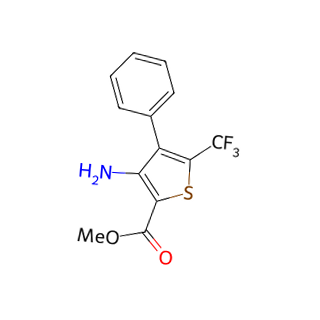 COC(=O)c1sc(C(F)(F)F)c(-c2ccccc2)c1N